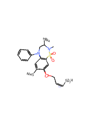 CCCCC1CN(c2ccccc2)c2cc(SC)c(OC/C=C\S(=O)(=O)O)cc2S(=O)(=O)N1C